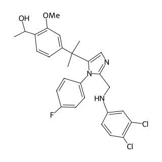 COc1cc(C(C)(C)c2cnc(CNc3ccc(Cl)c(Cl)c3)n2-c2ccc(F)cc2)ccc1C(C)O